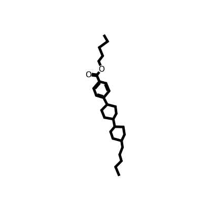 CCCCCOC(=O)c1ccc(C2CCC(C3CCC(CCCCC)CC3)CC2)cc1